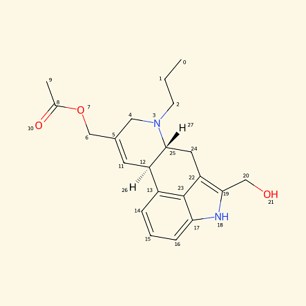 CCCN1CC(COC(C)=O)=C[C@@H]2c3cccc4[nH]c(CO)c(c34)C[C@H]21